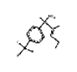 CCC=C(C)C(C)(N)c1ccc(C(F)(F)F)cc1